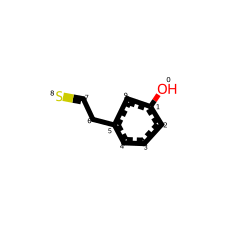 Oc1cccc(C[C]=S)c1